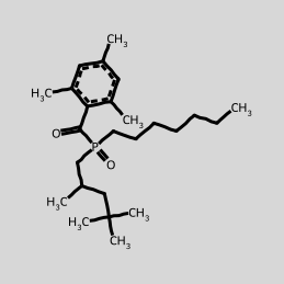 CCCCCCCP(=O)(CC(C)CC(C)(C)C)C(=O)c1c(C)cc(C)cc1C